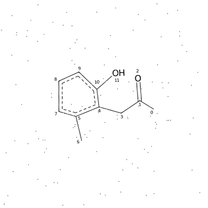 CC(=O)Cc1c(C)cccc1O